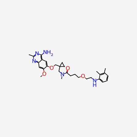 COc1cc2nc(C)nc(N)c2cc1OCC1(CN(C)C(=O)CCCOCCNc2cccc(C)c2C)CC1